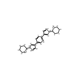 c1cc(-c2cnn(C3CCCCO3)c2)ncc1-c1cnn(C2CCCCO2)c1